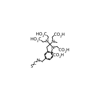 CN(CC(=O)O)C(Cc1cccc([CH]N=C=S)c1)(N(CC(=O)O)CC(=O)O)N(CC(=O)O)CC(=O)O